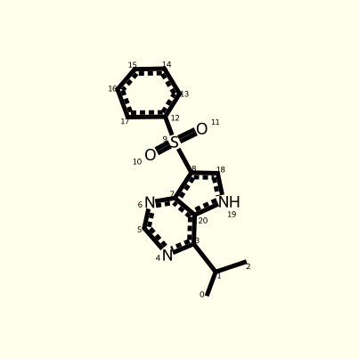 CC(C)c1ncnc2c(S(=O)(=O)c3ccccc3)c[nH]c12